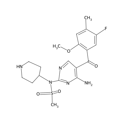 COc1cc(C)c(F)cc1C(=O)c1cnc(N(C2CCNCC2)S(C)(=O)=O)nc1N